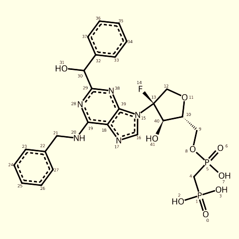 O=P(O)(O)CP(=O)(O)OC[C@H]1OC[C@@](F)(n2cnc3c(NCc4ccccc4)nc(C(O)c4ccccc4)nc32)[C@@H]1O